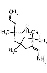 C=CCC(C)(CC)CC1(C)C/C(=C\N)C(C)(C)C1